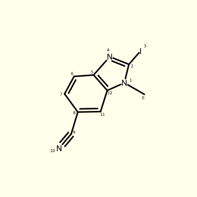 Cn1c(I)nc2ccc(C#N)cc21